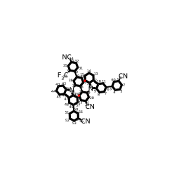 N#Cc1cccc(-c2ccc3c(c2)c2ccccc2n3-c2cc(C#N)ccc2-c2ccc(-c3ccc(C#N)cc3C(F)(F)F)cc2-n2c3ccccc3c3cc(-c4cccc(C#N)c4)ccc32)c1